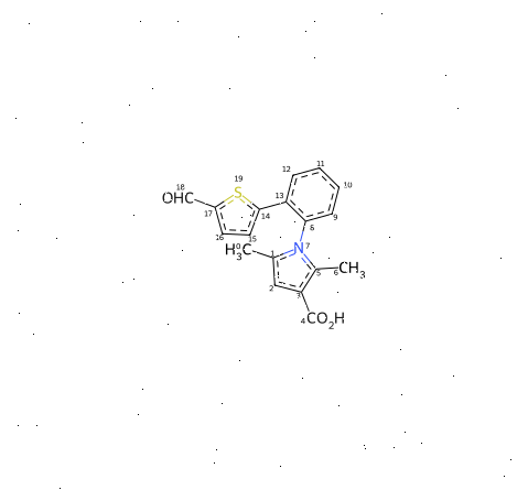 Cc1cc(C(=O)O)c(C)n1-c1ccccc1-c1ccc(C=O)s1